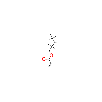 C=C(C)C(=O)OCC(C)(C)C(C)C(C)(C)C